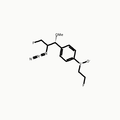 CO[C@H](c1ccc([S+]([O-])CCF)cc1)C(CF)N=[N+]=[N-]